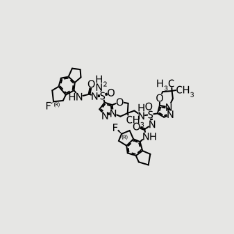 CC1(C)COc2c(S(=O)(=NC(=O)Nc3c4c(cc5c3C[C@H](F)C5)CCC4)NCC3(C)COc4c(S(N)(=O)=NC(=O)Nc5c6c(cc7c5C[C@H](F)C7)CCC6)cnn4C3)cnn2C1